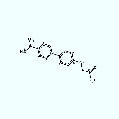 CC(C)c1ccc(-c2ccc(OCC(=O)O)cc2)cc1